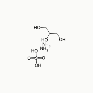 N.N.O=S(=O)(O)O.OCC(O)CO